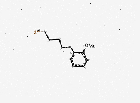 COc1ccccc1CCCCCBr